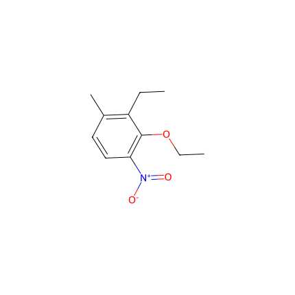 CCOc1c([N+](=O)[O-])ccc(C)c1CC